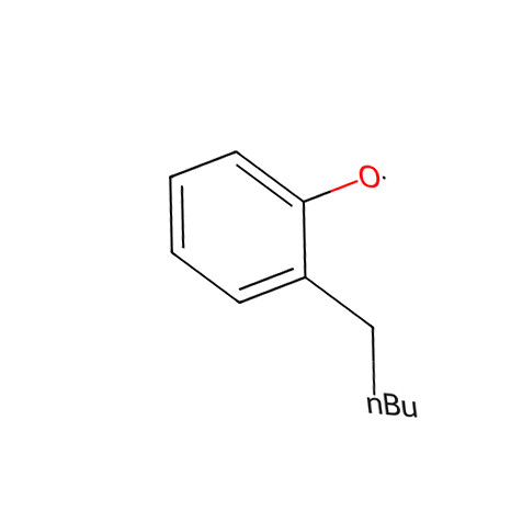 CCCCCc1ccccc1[O]